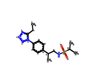 CCc1nnnn1-c1ccc(C(C)CNS(=O)(=O)C(C)C)cc1